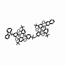 CC(C)(C)c1ccc2c3c1Oc1cc(-n4c5ccccc5c5ccccc54)cc4c1B3c1c(c(C(C)(C)C)cc3c1N2c1ccc(C(C)(C)Cc2cc5c6c(c2)Oc2c(C(C)(C)C)cc7c8c2B6c2c(ccc(C(C)(C)C)c2O5)N8c2cc5ccccc5cc2O7)cc1O3)O4